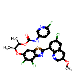 COc1cnc2c(-c3nc4c(Cl)c(F)c(O[C@@H](C)[C@@H](C)OC(=O)Nc5ccc(F)nc5)cc4s3)cc(Cl)cc2c1